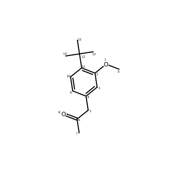 COc1cc(CC(C)=O)ccc1C(C)(C)C